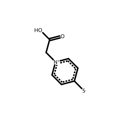 O=C(O)C[n+]1ccc([S])cc1